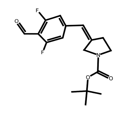 CC(C)(C)OC(=O)N1CCC(=Cc2cc(F)c(C=O)c(F)c2)C1